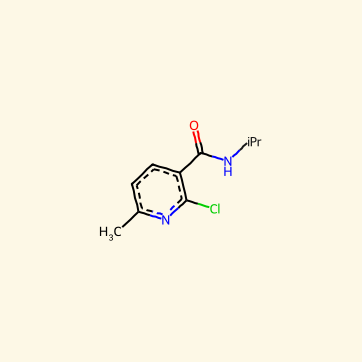 Cc1ccc(C(=O)NC(C)C)c(Cl)n1